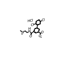 COC(=O)c1cc(C(=O)NCCN(C)C)cc(-c2cc(Cl)ccc2Cl)c1.Cl